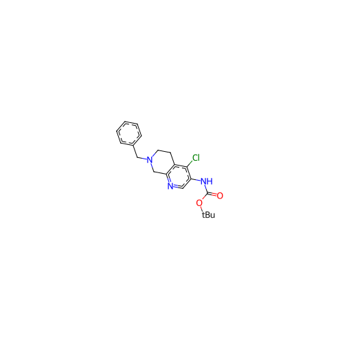 CC(C)(C)OC(=O)Nc1cnc2c(c1Cl)CCN(Cc1ccccc1)C2